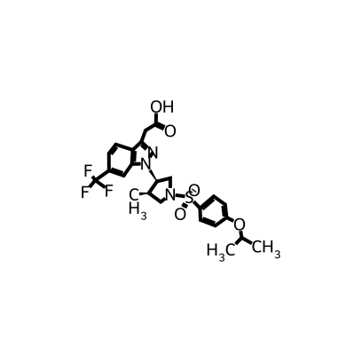 CC(C)Oc1ccc(S(=O)(=O)N2C[C@@H](C)[C@@H](n3nc(CC(=O)O)c4ccc(C(F)(F)F)cc43)C2)cc1